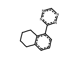 c1cc2c(c(-c3nncnn3)c1)CCCC2